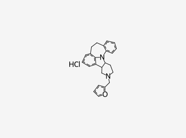 Cl.c1coc(CN2CCC3C(C2)c2cccc4c2N3c2ccccc2CC4)c1